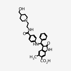 Cc1cc2c(cc1C(=O)O)NC(=O)/C2=C(/Nc1ccc(C(=O)NCCN2CCC(CO)CC2)cc1)c1ccccc1